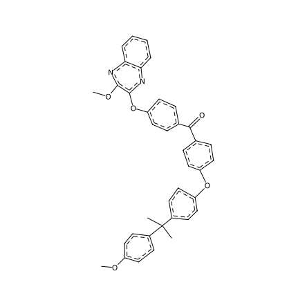 COc1ccc(C(C)(C)c2ccc(Oc3ccc(C(=O)c4ccc(Oc5nc6ccccc6nc5OC)cc4)cc3)cc2)cc1